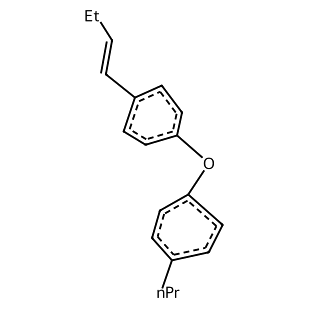 CC/C=C/c1ccc(Oc2ccc(CCC)cc2)cc1